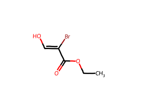 CCOC(=O)/C(Br)=C/O